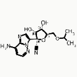 CC(C)OC[C@H]1O[C@@](C#N)(c2cnc3c(N)ccnn23)[C@H](O)[C@@H]1O